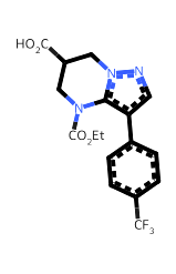 CCOC(=O)N1CC(C(=O)O)Cn2ncc(-c3ccc(C(F)(F)F)cc3)c21